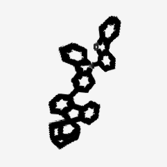 c1ccc2c(c1)-c1c(-c3ccc4c(c3)c3ccccc3n4-c3cccc4c3oc3ccccc34)cccc1C21C2CC3CC(C2)CC1C3